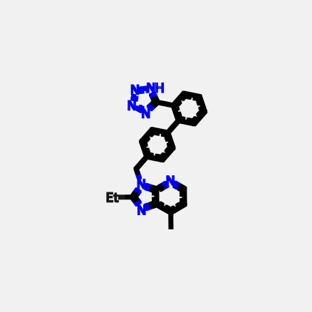 CCc1nc2c(C)ccnc2n1Cc1ccc(-c2ccccc2-c2nnn[nH]2)cc1